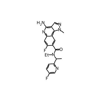 CCN(C(=O)c1cc2c(cc1F)nc(N)c1cnn(C)c12)C(C)c1ccc(F)cn1